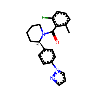 Cc1cccc(F)c1C(=O)N1CCCC[C@@H]1c1ccc(-n2cccn2)cc1